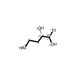 CCCCCC[C@H](O)[C@H](O)CC